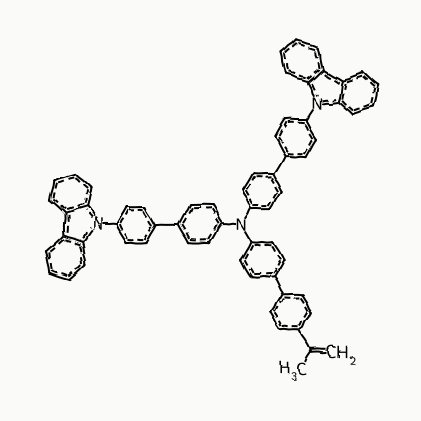 C=C(C)c1ccc(-c2ccc(N(c3ccc(-c4ccc(-n5c6ccccc6c6ccccc65)cc4)cc3)c3ccc(-c4ccc(-n5c6ccccc6c6ccccc65)cc4)cc3)cc2)cc1